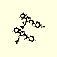 O=C(Cc1nc(NCC2CC2)c2c3c(sc2n1)CCCC3)N1CCC(O)CC1.O=C(Cc1nc(NCC2CC2)c2c3c(sc2n1)CCCC3)N1CCCCC1